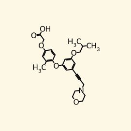 Cc1cc(OCC(=O)O)ccc1Oc1cc(C#CCN2CCOCC2)cc(OCC(C)C)c1